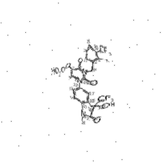 Cc1c(Cn2c(=O)c(OC(=O)O)cn(-c3ccc4c(c3)C(O)(C(F)(F)F)C(=O)N4C)c2=O)cccc1C(F)(F)F